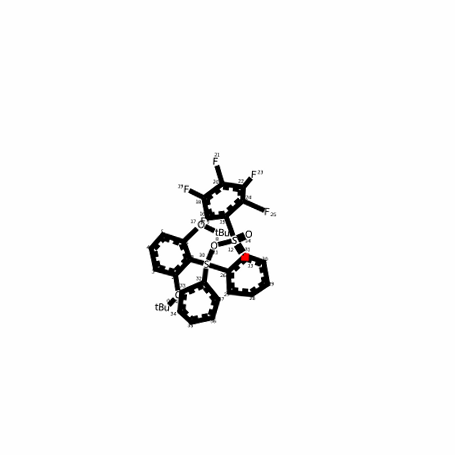 CC(C)(C)Oc1cccc(OC(C)(C)C)c1S(OS(=O)(=O)c1c(F)c(F)c(F)c(F)c1F)(c1ccccc1)c1ccccc1